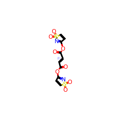 O=C(/C=C/C(=O)OC1=NS(=O)(=O)C=C1)OC1=NS(=O)(=O)C=C1